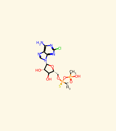 CP(=O)(O)OP(C)(=S)OC[C@H]1O[C@@H](n2cnc3c(N)nc(Cl)nc32)[C@@H](O)C1O